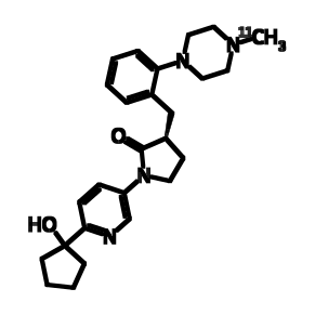 [11CH3]N1CCN(c2ccccc2C[C@H]2CCN(c3ccc(C4(O)CCCC4)nc3)C2=O)CC1